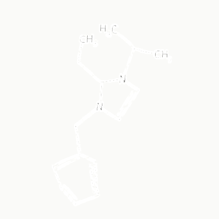 CCC1N(Cc2ccccc2)C=CN1C(C)C